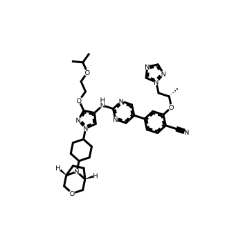 CC(C)OCCOc1nn(C2CCC(N3[C@@H]4CC[C@H]3COC4)CC2)cc1Nc1ncc(-c2ccc(C#N)c(O[C@@H](C)Cn3cncn3)c2)cn1